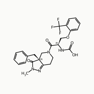 CN1N=C2CCN(C(=O)[C@@H](COc3ccccc3C(F)(F)F)NC(=O)O)C[C@@]2(Cc2ccccc2)C1=O